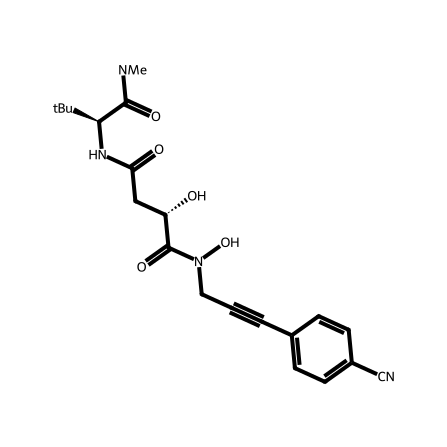 CNC(=O)[C@@H](NC(=O)C[C@H](O)C(=O)N(O)CC#Cc1ccc(C#N)cc1)C(C)(C)C